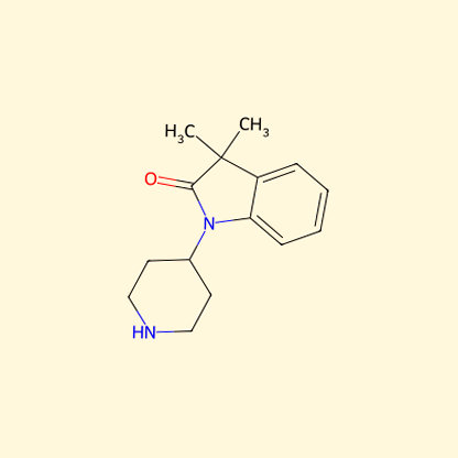 CC1(C)C(=O)N(C2CCNCC2)c2ccccc21